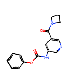 O=C(Nc1cncc(C(=O)N2CCC2)c1)Oc1ccccc1